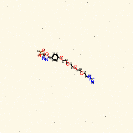 CS(=O)(=O)c1nnc(-c2ccc(OCCOCCOCCOCCN=[N+]=[N-])cc2)o1